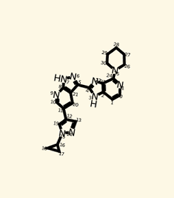 c1cc2[nH]c(-c3n[nH]c4ncc(-c5cnn(C6CC6)c5)cc34)nc2c(N2CCCCC2)n1